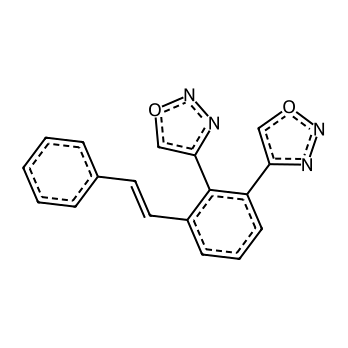 C(=Cc1cccc(-c2conn2)c1-c1conn1)c1ccccc1